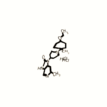 CCOC1CCC(C)(N2CCC(n3c(=O)[nH]c4cnc(C)cc43)CC2)CC1.Cl.Cl